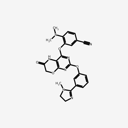 CN1CCN=C1c1cccc(Oc2nc3c(c(Oc4cc(C#N)ccc4N(C)C)n2)NC(=O)CO3)c1